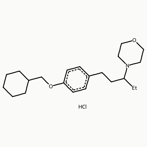 CCC(CCc1ccc(OCC2CCCCC2)cc1)N1CCOCC1.Cl